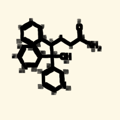 NC(=O)CCC(c1ccccc1)C(O)(c1cccnc1)c1cccnc1